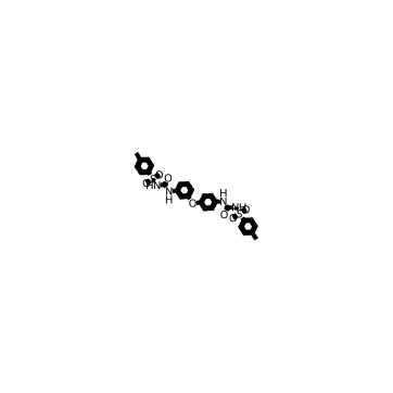 Cc1ccc(S(=O)(=O)NC(=O)Nc2ccc(Oc3cccc(NC(=O)NS(=O)(=O)c4ccc(C)cc4)c3)cc2)cc1